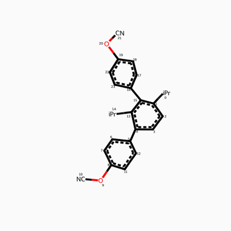 CC(C)c1ccc(-c2ccc(OC#N)cc2)c(C(C)C)c1-c1ccc(OC#N)cc1